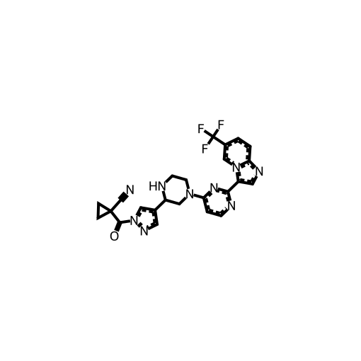 N#CC1(C(=O)n2cc(C3CN(c4ccnc(-c5cnc6ccc(C(F)(F)F)cn56)n4)CCN3)cn2)CC1